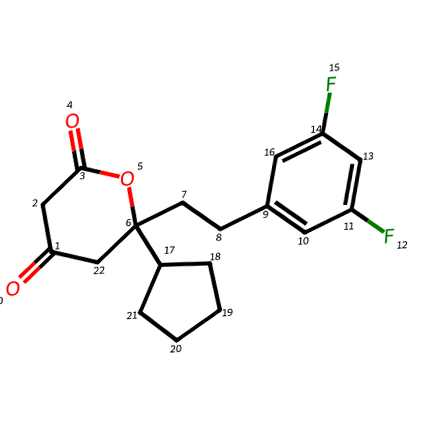 O=C1CC(=O)OC(CCc2cc(F)cc(F)c2)(C2CCCC2)C1